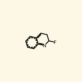 FC1CC=c2ccccc2=N1